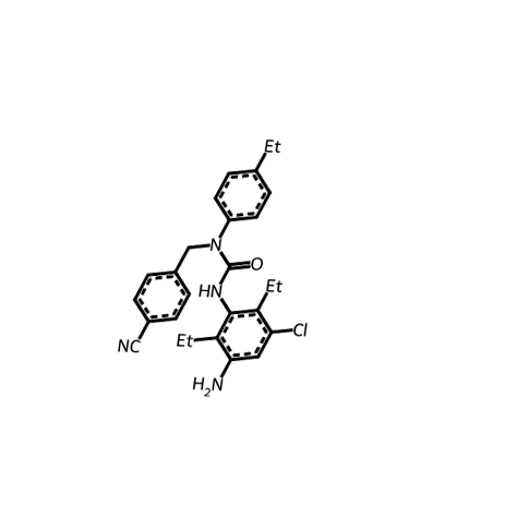 CCc1ccc(N(Cc2ccc(C#N)cc2)C(=O)Nc2c(CC)c(N)cc(Cl)c2CC)cc1